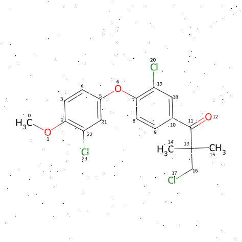 COc1ccc(Oc2ccc(C(=O)C(C)(C)CCl)cc2Cl)cc1Cl